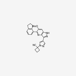 COc1cc2[nH]nc(-c3cnn(C4(C#N)CCC4)c3)c2nc1-c1cccc2c1CCC2